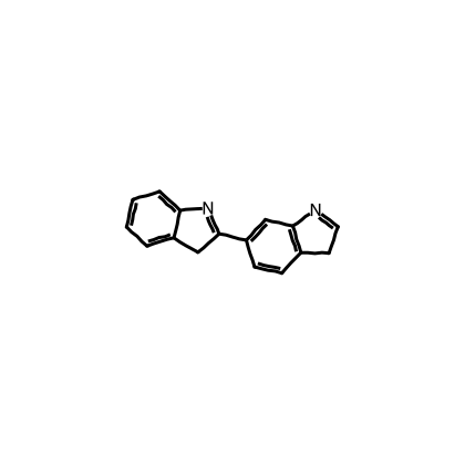 C1=Nc2cc(C3=Nc4ccccc4C3)ccc2C1